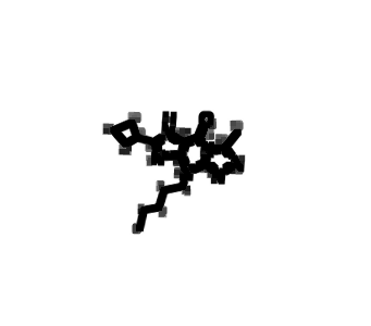 CCCCCn1c2nc(C3CCC3)[nH]c2c(=O)n2c(C)nnc12